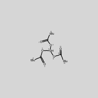 CC(C)(C)C(=O)O[SiH](OC(=O)C(C)(C)C)OC(=O)C(C)(C)C